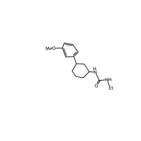 CCNC(=O)NC1CCCC(c2cccc(OC)c2)C1